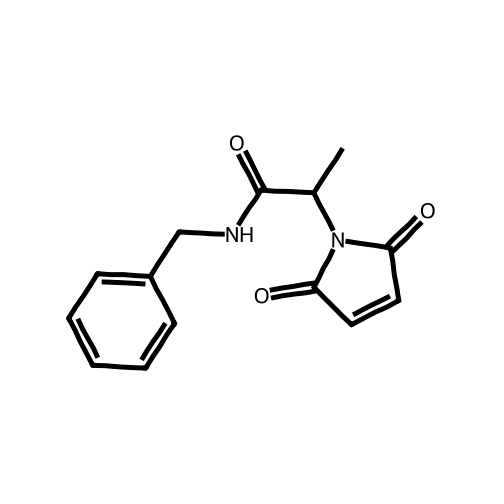 CC(C(=O)NCc1ccccc1)N1C(=O)C=CC1=O